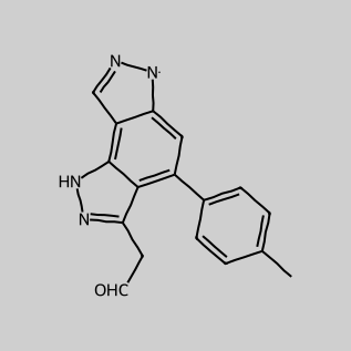 Cc1ccc(-c2cc3c(c4[nH]nc(CC=O)c24)C=N[N]3)cc1